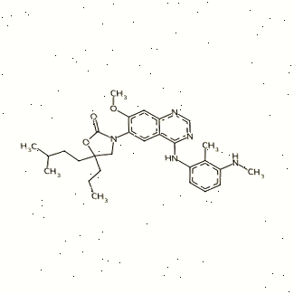 CCCC1(CCC(C)C)CN(c2cc3c(Nc4cccc(NC)c4C)ncnc3cc2OC)C(=O)O1